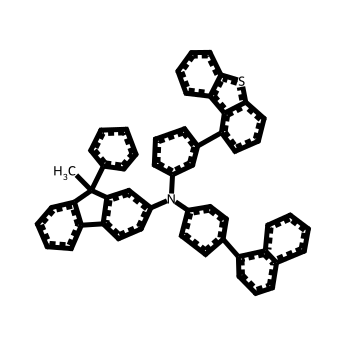 CC1(c2ccccc2)c2ccccc2-c2ccc(N(c3ccc(-c4cccc5ccccc45)cc3)c3cccc(-c4cccc5sc6ccccc6c45)c3)cc21